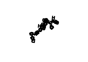 O=C(NS(=O)(=O)c1ccc(N[C@H](CCNN2CCOCC2)CSc2ccccc2)c([N+](=O)[O-])c1)c1ccc(N2CCN(Cc3ccccc3-c3ccc(Cl)cc3)CC2)cc1